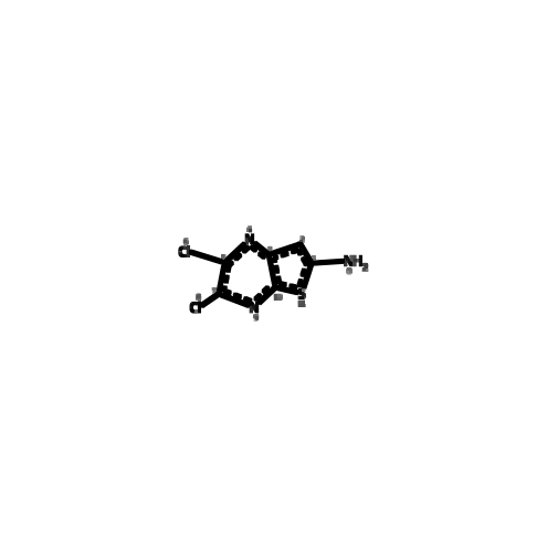 Nc1cc2nc(Cl)c(Cl)nc2s1